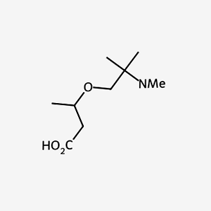 CNC(C)(C)COC(C)CC(=O)O